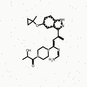 C=C(/C=C(\N=C/N)N1CCN(C(=O)C(C)O)CC1)c1n[nH]c2ccc(OC3(C)CC3)cc12